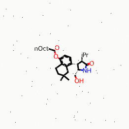 CCCCCCCCC(=O)Oc1ccc([C@@H]2[C@@H](C(C)C)C(=O)N[C@@H]2CO)c2c1CCC(C)(C)C2